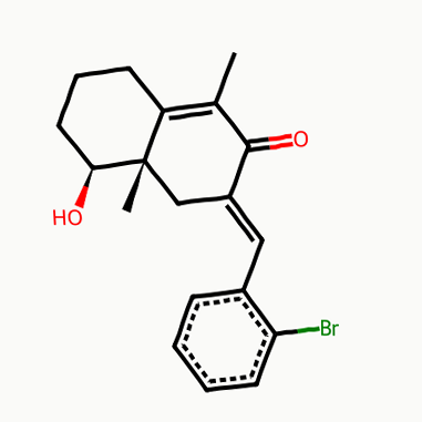 CC1=C2CCC[C@H](O)[C@@]2(C)C/C(=C\c2ccccc2Br)C1=O